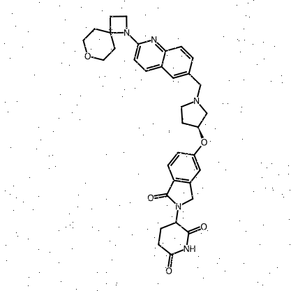 O=C1CCC(N2Cc3cc(O[C@H]4CCN(Cc5ccc6nc(N7CCC78CCOCC8)ccc6c5)C4)ccc3C2=O)C(=O)N1